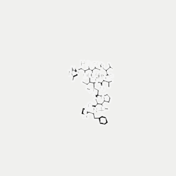 CCC(C)C(C(CC(=O)N1CCCC1C(OC)C(C)C(=O)NC(Cc1ccccc1)c1nccs1)OC)N(C)C(=O)C(NC(=O)C(C(C)C)N(C)CC(O)C(O)C(O)C(O)Cn1cc(C)nn1)C(C)C